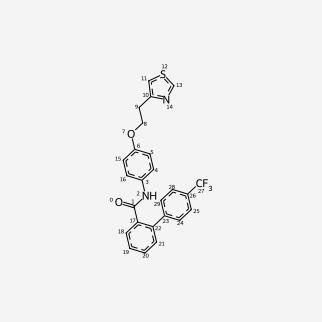 O=C(Nc1ccc(OCCc2cscn2)cc1)c1ccccc1-c1ccc(C(F)(F)F)cc1